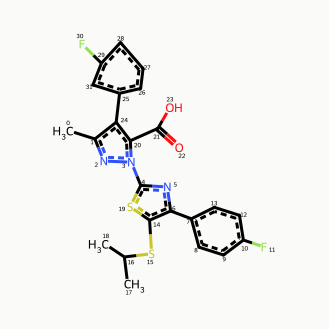 Cc1nn(-c2nc(-c3ccc(F)cc3)c(SC(C)C)s2)c(C(=O)O)c1-c1cccc(F)c1